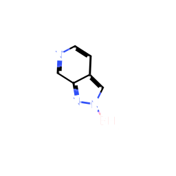 Bn1cc2ccncc2n1